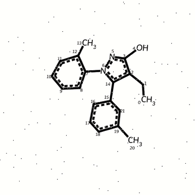 CCc1c(O)nn(-c2ccccc2C)c1-c1cccc(C)c1